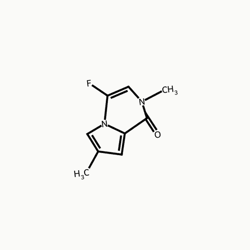 Cc1cc2c(=O)n(C)cc(F)n2c1